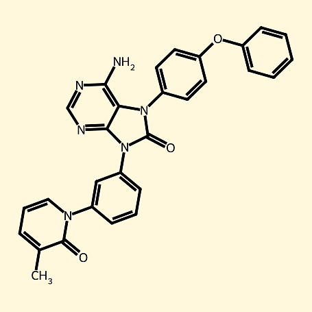 Cc1cccn(-c2cccc(-n3c(=O)n(-c4ccc(Oc5ccccc5)cc4)c4c(N)ncnc43)c2)c1=O